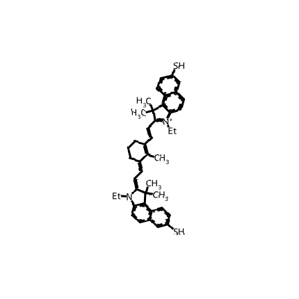 CCN1/C(=C/C=C2\CCCC(/C=C/C3=[N+](CC)c4ccc5cc(S)ccc5c4C3(C)C)=C2C)C(C)(C)c2c1ccc1cc(S)ccc21